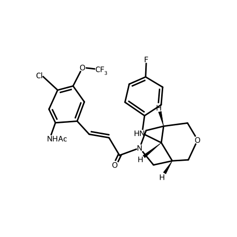 CC(=O)Nc1cc(Cl)c(OC(F)(F)F)cc1/C=C/C(=O)N1C[C@H]2COC[C@@H](C1)[C@H]2Nc1ccc(F)cc1